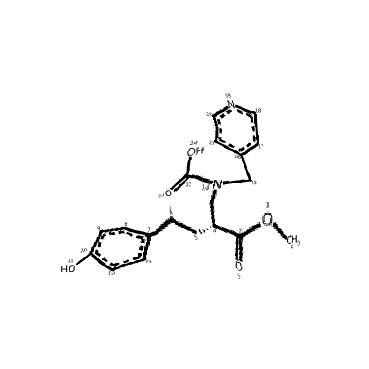 COC(=O)[C@H](CCc1ccc(O)cc1)N(Cc1ccncc1)C(=O)O